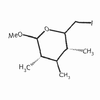 COC1OC(CI)[C@H](C)C(C)[C@@H]1C